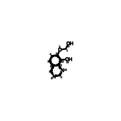 OCOc1ccc2cncnc2c1O